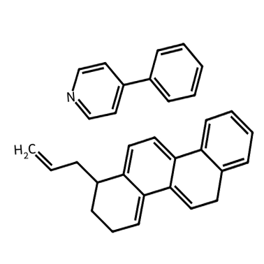 C=CCC1CCC=c2c1ccc1c2=CCc2ccccc2-1.c1ccc(-c2ccncc2)cc1